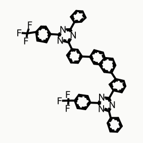 FC(F)(F)c1ccc(-c2nc(-c3ccccc3)nc(-c3cccc(-c4ccc5ccc(-c6cccc(-c7nc(-c8ccccc8)nc(-c8ccc(C(F)(F)F)cc8)n7)c6)cc5c4)c3)n2)cc1